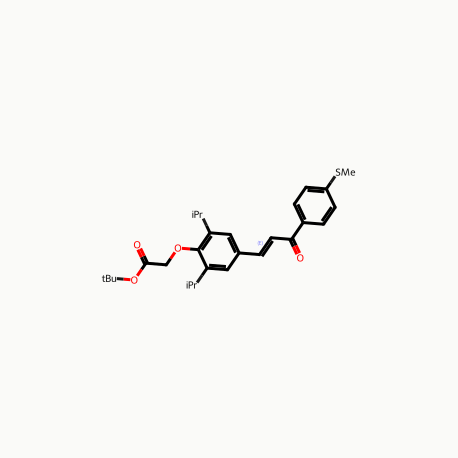 CSc1ccc(C(=O)/C=C/c2cc(C(C)C)c(OCC(=O)OC(C)(C)C)c(C(C)C)c2)cc1